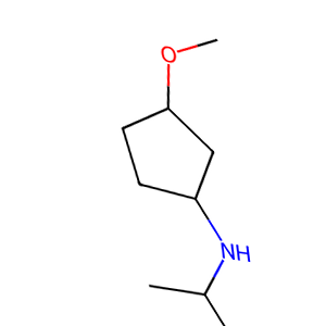 COC1CCC(NC(C)C)C1